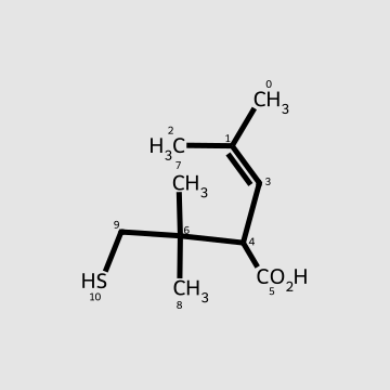 CC(C)=CC(C(=O)O)C(C)(C)CS